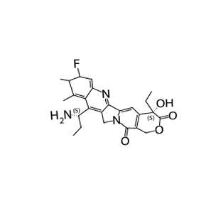 CC[C@H](N)c1c2c(nc3c1=C(C)C(C)C(F)C=3)-c1cc3c(c(=O)n1C2)COC(=O)[C@]3(O)CC